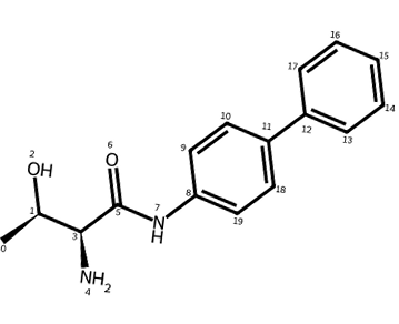 C[C@@H](O)[C@H](N)C(=O)Nc1ccc(-c2ccccc2)cc1